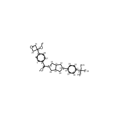 COC1(c2ccc(C(=O)N3CC4CN(c5ccc(C(F)(F)F)cc5)CC4C3)cc2)COC1